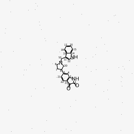 O=C1Nc2cc(C3CCN(Cc4c[nH]c5ccccc45)C3)ccc2C1=O